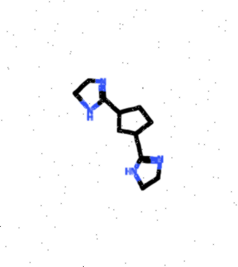 C1CNC(C2CCC(C3=NCCN3)C2)=N1